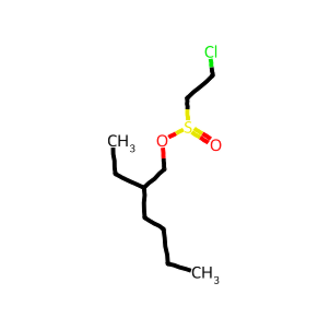 CCCCC(CC)COS(=O)CCCl